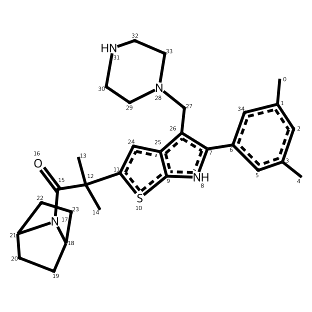 Cc1cc(C)cc(-c2[nH]c3sc(C(C)(C)C(=O)N4C5CCC4CC5)cc3c2CN2CCNCC2)c1